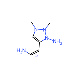 CN1C=C(/C=C\N)N(N)N1C